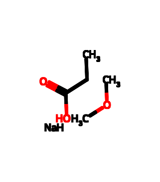 CCC(=O)O.COC.[NaH]